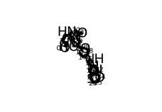 COc1ccc2c(n1)N(C[C@H](O)[C@@H]1CC[C@@H](NCc3cc4c(nn3)OCCS4)CO1)C(=O)CN2